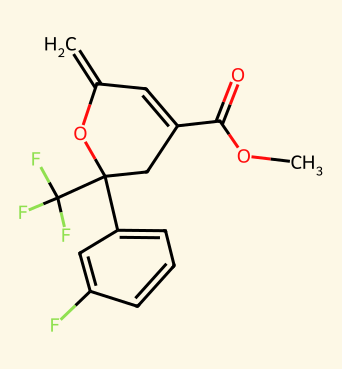 C=C1C=C(C(=O)OC)CC(c2cccc(F)c2)(C(F)(F)F)O1